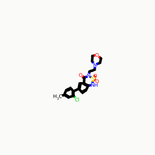 Cc1ccc(-c2ccc3c(c2)C(=O)N(CCN2CCOCC2)S(=O)(=O)N3)c(Cl)c1